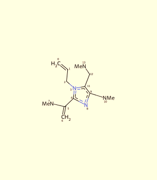 C=CCn1c(C(=C)NC)nc(NC)c1CNC